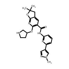 Cn1cc(-c2cccc(NC(=O)c3cc4c(nc3OC3CCNC3)OC(C)(C)C4)n2)cn1